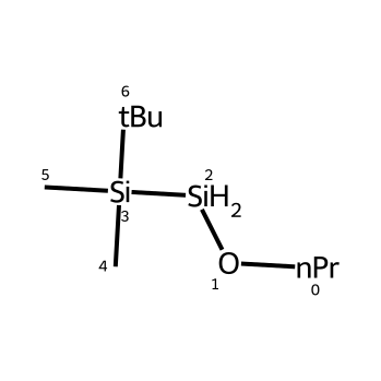 CCCO[SiH2][Si](C)(C)C(C)(C)C